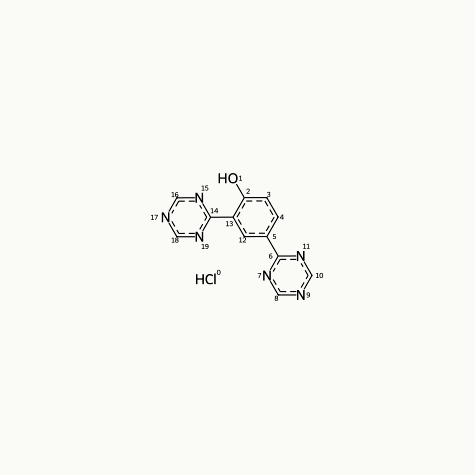 Cl.Oc1ccc(-c2ncncn2)cc1-c1ncncn1